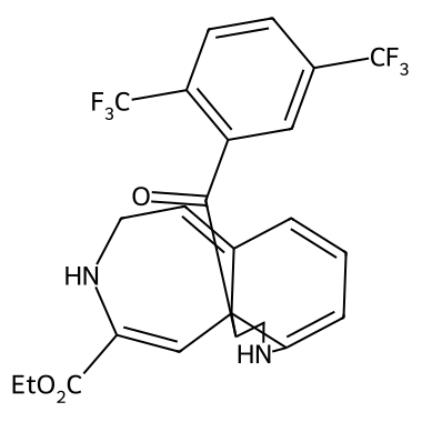 CCOC(=O)C1=CC23C(=CCN1)C=CC=C2NCC3C(=O)c1cc(C(F)(F)F)ccc1C(F)(F)F